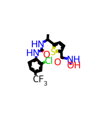 CC(NC(=O)Nc1ccc(C(F)(F)F)cc1Cl)c1ccc(C(=O)NO)s1